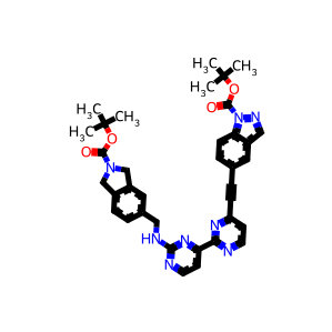 CC(C)(C)OC(=O)N1Cc2ccc(CNc3nccc(-c4nccc(C#Cc5ccc6c(cnn6C(=O)OC(C)(C)C)c5)n4)n3)cc2C1